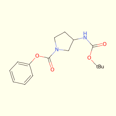 CC(C)(C)OC(=O)NC1CCN(C(=O)Oc2ccccc2)C1